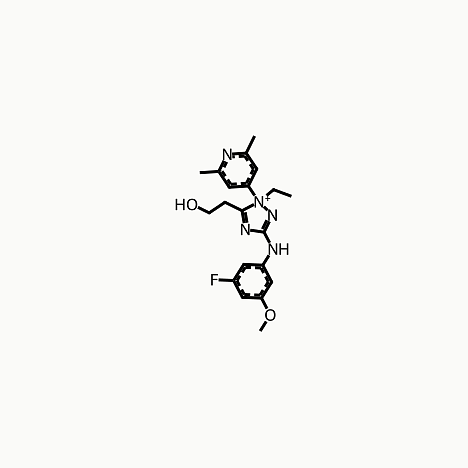 CC[N+]1(c2cc(C)nc(C)c2)N=C(Nc2cc(F)cc(OC)c2)N=C1CCO